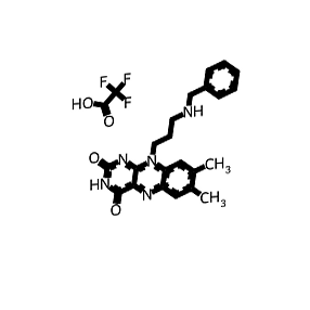 Cc1cc2nc3c(=O)[nH]c(=O)nc-3n(CCCNCc3ccccc3)c2cc1C.O=C(O)C(F)(F)F